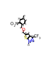 Cc1ccc(COCc2cc3c(C(F)(F)F)nn(C)c3s2)c([N+](=O)[O-])c1